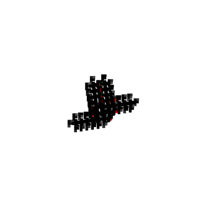 FC(F)(F)C(F)(F)C(F)(F)C(F)(F)C(F)(F)C(F)(F)[Si](C(F)(F)C(F)(F)C(F)(F)C(F)(F)C(F)(F)C(F)(F)F)(C(F)(F)C(F)(F)C(F)(F)C(F)(F)C(F)(F)C(F)(F)F)C(F)(F)C(F)(F)C(F)(F)C(F)(F)C(F)(F)C(F)(F)F